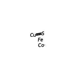 [Co].[Fe].[S]=[Cu]